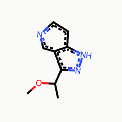 COC(C)c1n[nH]c2ccncc12